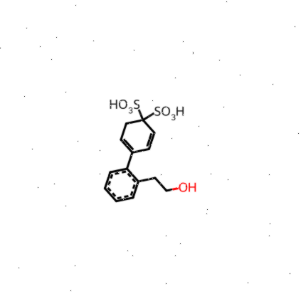 O=S(=O)(O)C1(S(=O)(=O)O)C=CC(c2ccccc2CCO)=CC1